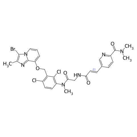 Cc1nc2c(OCc3c(Cl)ccc(N(C)C(=O)CNC(=O)/C=C/c4ccc(C(=O)N(C)C)nc4)c3Cl)cccn2c1Br